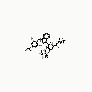 CCOc1cc(F)c(Cn2nc(-c3nc(CS(=O)(=O)C(F)(F)F)cc([C@H](C)O[Si](C)(C)C(C)(C)C)n3)c3ccccc32)c(F)c1